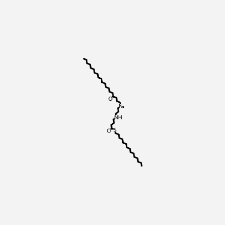 CCCCCCCCCCCCCCCCC(=O)CCCN(C)CCCNCCCC(=O)SCCCCCCCCCCCCCCC